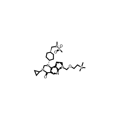 CN(C[C@H]1CC[C@H](N2CN(C3CC3)C(=O)c3cnc4c(ccn4COCC[Si](C)(C)C)c32)CC1)S(C)(=O)=O